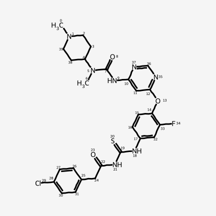 CN1CCC(N(C)C(=O)Nc2cc(Oc3ccc(NC(=S)NC(=O)Cc4ccc(Cl)cc4)cc3F)ncn2)CC1